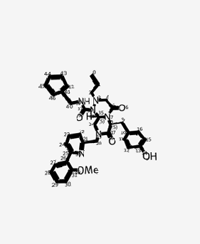 C=CCN1CC(=O)N2[C@@H](Cc3ccc(O)cc3)C(=O)N(Cc3cccc(-c4ccccc4OC)n3)C[C@@H]2N1C(=O)NCc1ccccc1